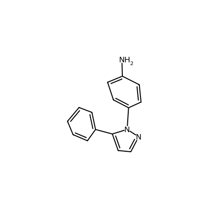 Nc1ccc(-n2nccc2-c2ccccc2)cc1